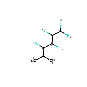 N#CC(C#N)C(F)C(F)C(F)C(F)F